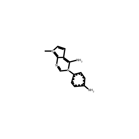 CS1=C2N=CN(c3ccc(N)cc3)C(N)=C2C=C1